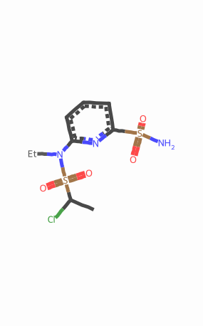 CCN(c1cccc(S(N)(=O)=O)n1)S(=O)(=O)C(C)Cl